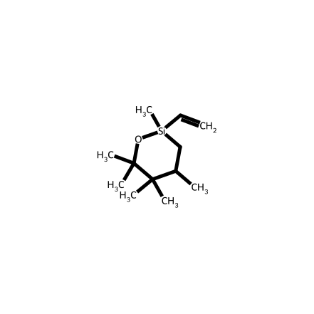 C=C[Si]1(C)CC(C)C(C)(C)C(C)(C)O1